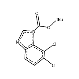 CC(C)(C)OC(=O)n1cnc2ccc(Cl)c(Cl)c21